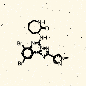 Cn1cc(-c2nc3c4cc(Br)cc(Br)c4nc(N[C@@H]4CCCCNC4=O)n3n2)cn1